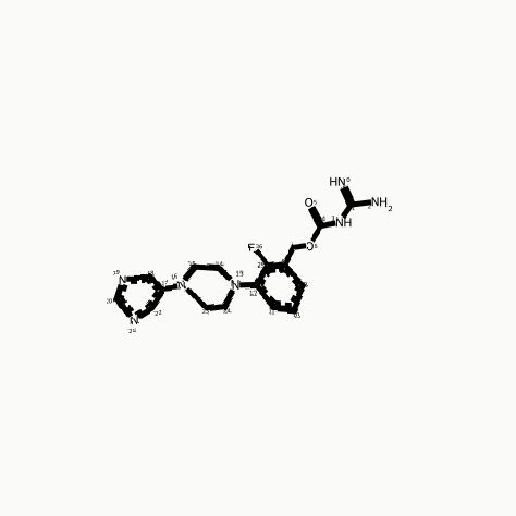 N=C(N)NC(=O)OCc1cccc(N2CCN(c3cncnc3)CC2)c1F